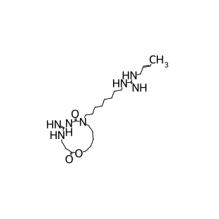 C/C=C/CNC(=N)NCCCCCCCCN1CCCCCOC(=O)CCNC(=N)NC1=O